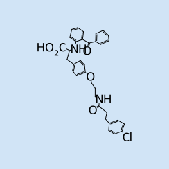 O=C(CCc1ccc(Cl)cc1)NCCCOc1ccc(CC(Nc2ccccc2C(=O)c2ccccc2)C(=O)O)cc1